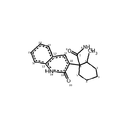 CC1CCCCC1(C(N)=O)c1cc2ccccc2[nH]c1=O